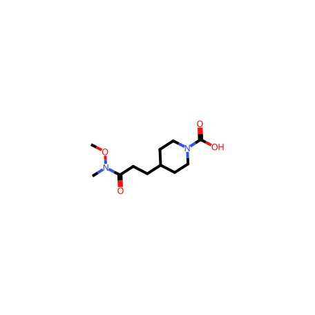 CON(C)C(=O)CCC1CCN(C(=O)O)CC1